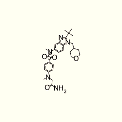 CN(CC(N)=O)c1ccc(S(=O)(=O)N(C)c2ccc3c(c2)nc(C(C)(C)C)n3CC2CCOCC2)cc1